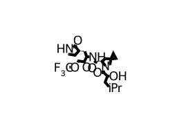 CC(C)CC(O)C(=O)N1CC2(CC2)C[C@H]1C(=O)NC(C[C@@H]1CCNC1=O)C(=O)COC(F)(F)F